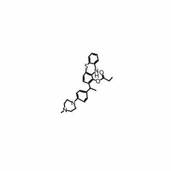 CCC(=O)Oc1c(C(C)c2ccc(N3CCN(C)CC3)cc2)ccc2c1Nc1ccccc1S2